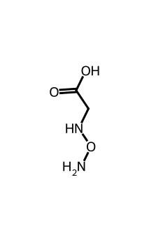 NONCC(=O)O